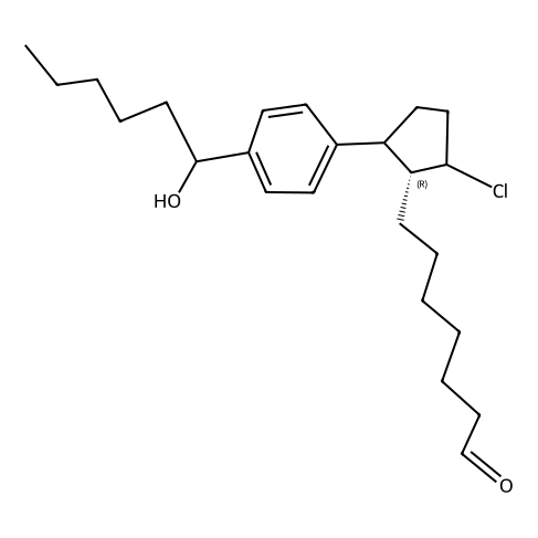 CCCCCC(O)c1ccc(C2CCC(Cl)[C@@H]2CCCCCCC=O)cc1